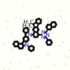 CC1(C)c2ccccc2-c2cc3c(-c4nc(-c5ccccc5)nc(-c5ccc6ccccc6c5)n4)ccc(-n4c5ccccc5c5cc6c7c8ccccc8ccc7n(-c7ccccc7)c6cc54)c3cc21